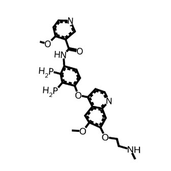 CNCCOc1cc2nccc(Oc3ccc(NC(=O)c4cnccc4OC)c(P)c3P)c2cc1OC